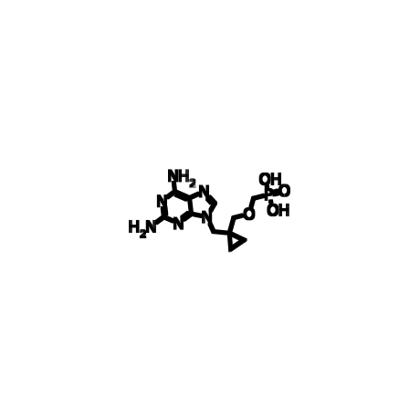 Nc1nc(N)c2ncn(CC3(COCP(=O)(O)O)CC3)c2n1